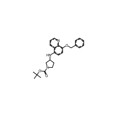 CC(C)(C)OC(=O)N1CCC(Nc2ccc(OCc3ccccc3)c3ncccc23)C1